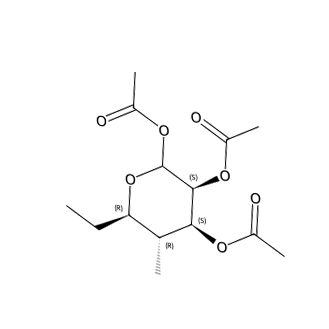 CC[C@H]1OC(OC(C)=O)[C@@H](OC(C)=O)[C@@H](OC(C)=O)[C@@H]1C